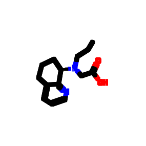 CCCN(CC(=O)O)[C@H]1CCCc2cccnc21